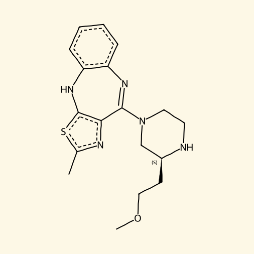 COCC[C@H]1CN(C2=Nc3ccccc3Nc3sc(C)nc32)CCN1